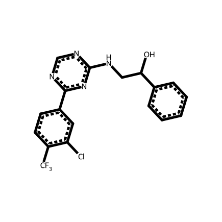 OC(CNc1ncnc(-c2ccc(C(F)(F)F)c(Cl)c2)n1)c1ccccc1